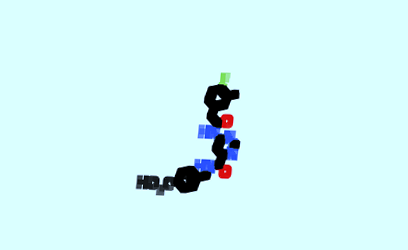 Cc1cc(CC(=O)Nc2cc(C(=O)NCC34CCC(C(=O)O)(CC3)CC4)ncn2)ccc1F